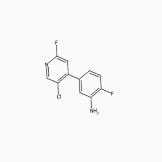 Nc1cc(-c2cc(F)ncc2Cl)ccc1F